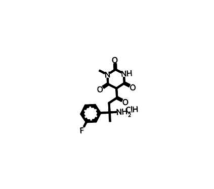 CN1C(=O)NC(=O)C(C(=O)CC(C)(N)c2cccc(F)c2)C1=O.Cl